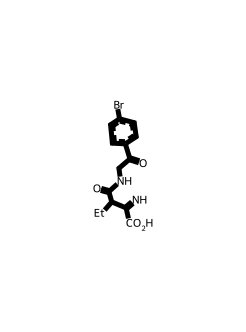 CCC(C(=N)C(=O)O)C(=O)NCC(=O)c1ccc(Br)cc1